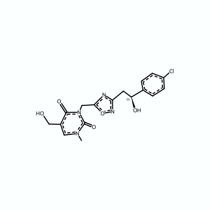 Cn1cc(CO)c(=O)n(Cc2nc(C[C@H](O)c3ccc(Cl)cc3)no2)c1=O